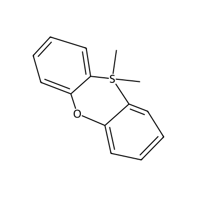 CS1(C)c2ccccc2Oc2ccccc21